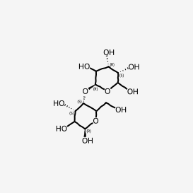 OCC1O[C@@H](O)C(O)[C@H](O)[C@@H]1O[C@@H]1OC(O)[C@@H](O)[C@@H](O)C1O